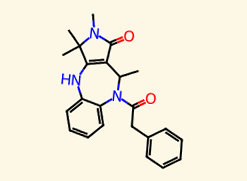 CC1C2=C(Nc3ccccc3N1C(=O)Cc1ccccc1)C(C)(C)N(C)C2=O